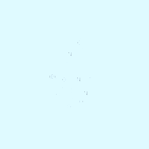 CC(C)(C)OC(=O)c1c2n(oc1=O)CCCN2Cc1ccc(Cl)nc1